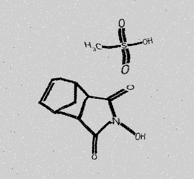 CS(=O)(=O)O.O=C1C2C3C=CC(C3)C2C(=O)N1O